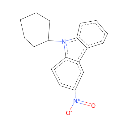 O=[N+]([O-])c1ccc2c(c1)c1ccccc1n2C1CCCCC1